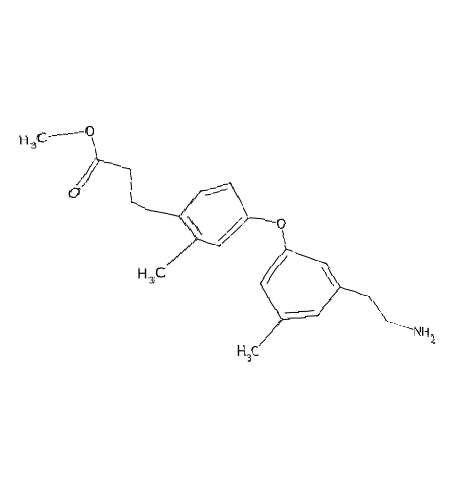 COC(=O)CCc1ccc(Oc2cc(C)cc(CCN)c2)cc1C